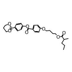 CCCC(C)C(=O)OCCCCOc1ccc(C(=O)Oc2ccc(B3OCCCO3)cc2)cc1